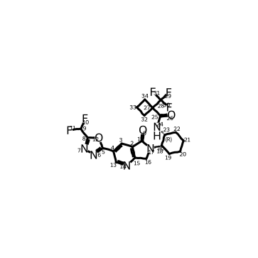 O=C1c2cc(-c3nnc(C(F)F)o3)cnc2CN1[C@@H]1CCCC[C@H]1NC(=O)C1(C(F)(F)F)CCC1